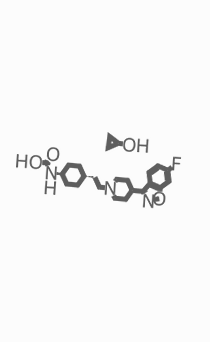 O=C(O)N[C@H]1CC[C@H](CCN2CCC(c3noc4cc(F)ccc34)CC2)CC1.OC1CC1